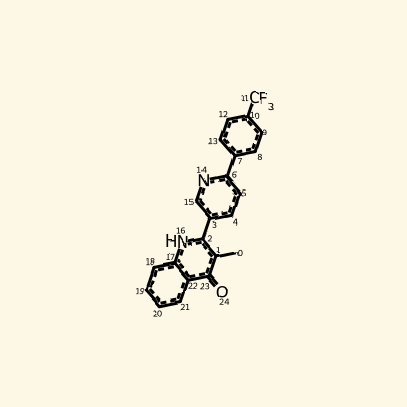 Cc1c(-c2ccc(-c3ccc(C(F)(F)F)cc3)nc2)[nH]c2ccccc2c1=O